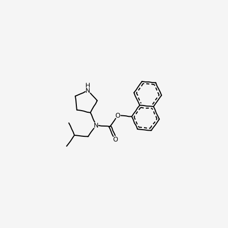 CC(C)CN(C(=O)Oc1cccc2ccccc12)C1CCNC1